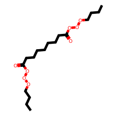 CCCCOOOC(=O)CCCCCCCC(=O)OOOCCCC